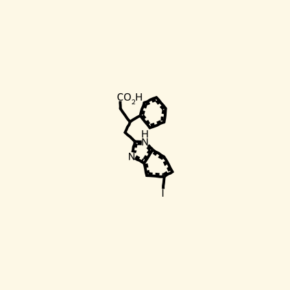 O=C(O)CC(Cc1nc2cc(I)ccc2[nH]1)c1ccccc1